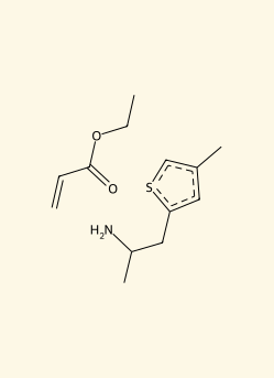 C=CC(=O)OCC.Cc1csc(CC(C)N)c1